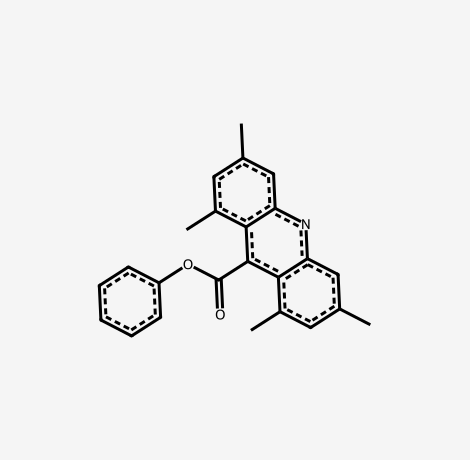 Cc1cc(C)c2c(C(=O)Oc3ccccc3)c3c(C)cc(C)cc3nc2c1